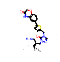 C/C=C(/CN)Cn1ncn(Cc2ccc(-c3ccc4c(c3)NC(=O)CO4)s2)c1=O